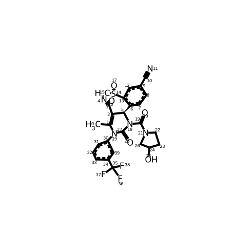 CC1=C(C#N)[C@@H](c2ccc(C#N)cc2S(C)(=O)=O)N(C(=O)N2CCC(O)C2)C(=O)N1c1cccc(C(F)(F)F)c1